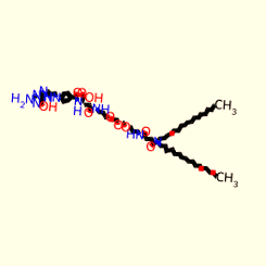 CCCCCCCCCCCCCCCCCCN(CCCCCCCCCCCCCCCCCC)C(=O)CCC(=O)NCCCOCOCCOCCCNC(=O)CC[C@H](NC(=O)c1ccc(NCc2cnc3nc(N)nc(O)c3n2)cc1)C(=O)O